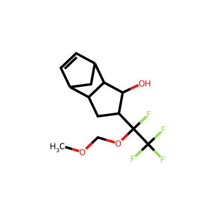 COCOC(F)(C1CC2C3C=CC(C3)C2C1O)C(F)(F)F